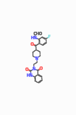 O=CNc1cc(F)ccc1C(=O)C1CCN(CCn2c(=O)[nH]c3ccccc3c2=O)CC1